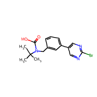 CC(C)(C)N(Cc1cccc(-c2cnc(Br)nc2)c1)C(=O)O